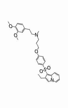 CCc1cn2ccccc2c1S(=O)(=O)c1ccc(OCCCN(C)CCc2ccc(OC)c(OC)c2)cc1